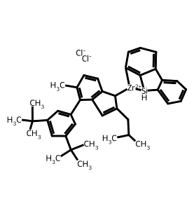 Cc1ccc2c(c1-c1cc(C(C)(C)C)cc(C(C)(C)C)c1)C=C(CC(C)C)[CH]2[Zr+2]1[c]2cccc3c2[SiH]1c1ccccc1-3.[Cl-].[Cl-]